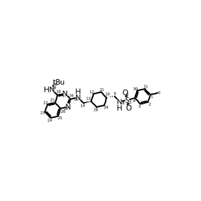 Cc1ccc(S(=O)(=O)NC[C@H]2CC[C@H](CNc3nc(NC(C)(C)C)c4ccccc4n3)CC2)cc1